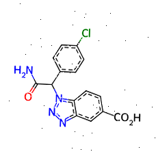 NC(=O)C(c1ccc(Cl)cc1)n1nnc2cc(C(=O)O)ccc21